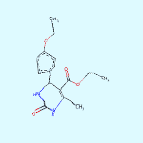 CCOC(=O)C1=C(C)NC(=O)NC1c1ccc(OCC)cc1